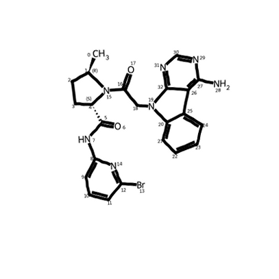 C[C@@H]1CC[C@@H](C(=O)Nc2cccc(Br)n2)N1C(=O)Cn1c2ccccc2c2c(N)ncnc21